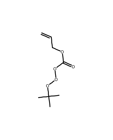 C=CCOC(=O)OOOC(C)(C)C